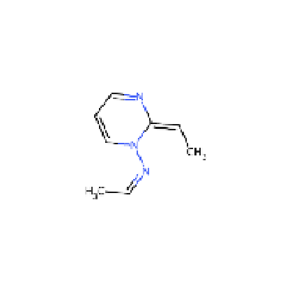 C/C=N\N1C=CC=N/C1=C/C